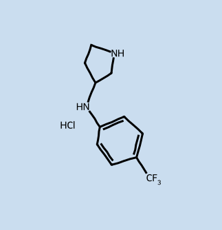 Cl.FC(F)(F)c1ccc(NC2CCNC2)cc1